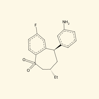 CC[C@H]1C[C@H](c2cccc(N)c2)c2cc(F)ccc2S(=O)(=O)C1